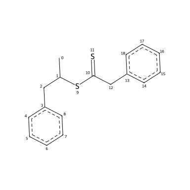 CC(Cc1ccccc1)SC(=S)Cc1ccccc1